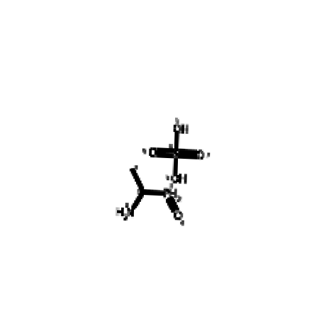 CC(N)[PH2]=O.O=S(=O)(O)O